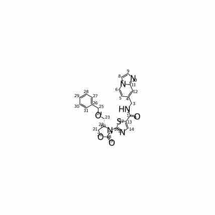 O=C(NCc1ccn2ccnc2c1)c1cnc(N2C(=O)OC[C@@H]2COCc2ccccc2)s1